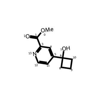 COC(=O)c1cc(C2(O)CCC2)ccn1